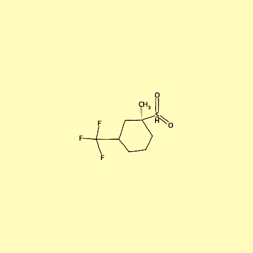 C[C@]1([SH](=O)=O)CCCC(C(F)(F)F)C1